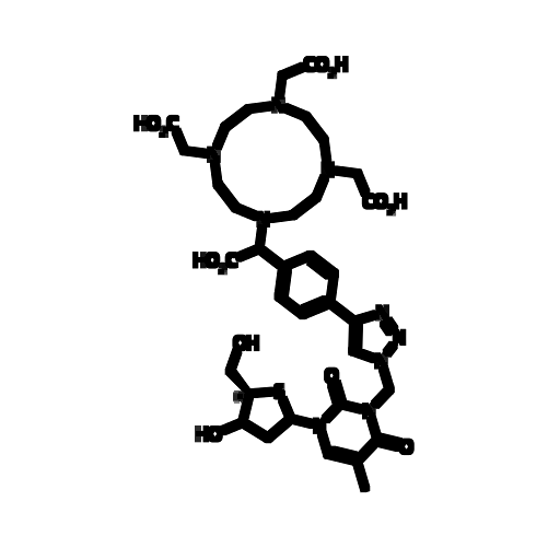 Cc1cn(C2CC(O)[C@@H](CO)S2)c(=O)n(Cn2cc(-c3ccc(C(C(=O)O)N4CCN(CC(=O)O)CCN(CC(=O)O)CCN(CC(=O)O)CC4)cc3)nn2)c1=O